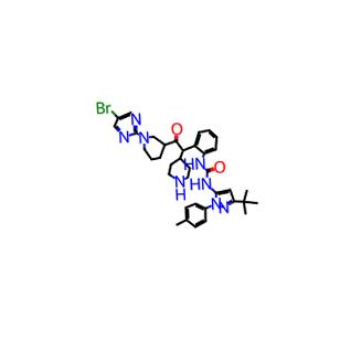 Cc1ccc(-n2nc(C(C)(C)C)cc2NC(=O)Nc2ccccc2C(C(=O)C2CCCN(c3ncc(Br)cn3)C2)C2CCNCC2)cc1